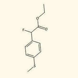 CCOC(=O)C(F)c1ccc(SC)cc1